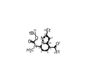 CCC(=O)c1ccc(N(C)C(=O)OC(C)(C)C)n2nc(CC)cc12